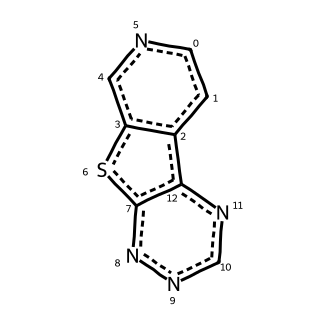 c1cc2c(cn1)sc1nncnc12